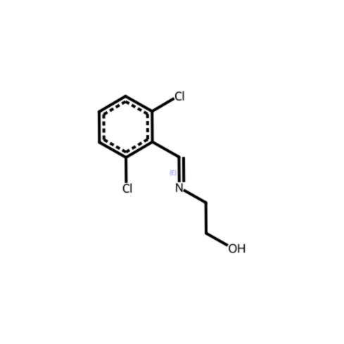 OCC/N=C/c1c(Cl)cccc1Cl